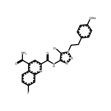 CCc1c(NC(=O)c2cc(C(N)=O)c3ccc(F)cc3n2)nnn1CCc1ccc(OC)cc1